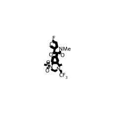 CNC(=O)c1c(-c2ccc(F)cc2)oc2cc3c(cc12)C(C)N(CC(F)(F)F)CCN3S(C)(=O)=O